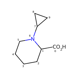 O=C(O)C1CCCCN1C1CC1